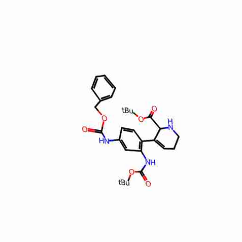 CC(C)(C)OC(=O)Nc1cc(NC(=O)OCc2ccccc2)ccc1C1=CCCNC1C(=O)OC(C)(C)C